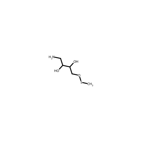 CSOCC(O)C(O)CN